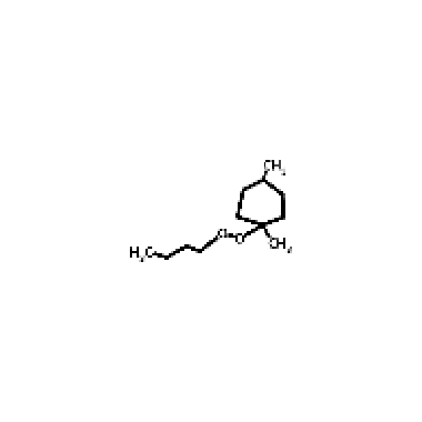 CCCCOOC1(C)CCC(C)CC1